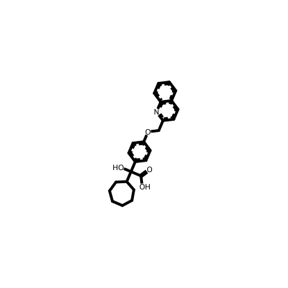 O=C(O)C(O)(c1ccc(OCc2ccc3ccccc3n2)cc1)C1CCCCCC1